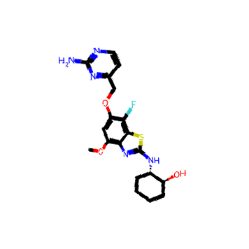 COc1cc(OCc2ccnc(N)n2)c(F)c2sc(N[C@H]3CCCC[C@@H]3O)nc12